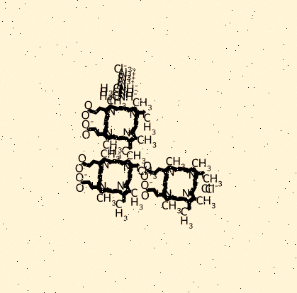 CCC1=C(C)c2cc3[nH]c(cc4nc(cc5[nH]c(cc1n2)c(C)c5CCC(=O)[O-])C(CCC(=O)[O-])=C4C)c(C)c3CC.CCC1=C(C)c2cc3[nH]c(cc4nc(cc5[nH]c(cc1n2)c(C)c5CCC(=O)[O-])C(CCC(=O)[O-])=C4C)c(C)c3CC.CCC1=C(C)c2cc3[nH]c(cc4nc(cc5[nH]c(cc1n2)c(C)c5CCC(=O)[O-])C(CCC(=O)[O-])=C4C)c(C)c3CC.C[NH-].C[NH-].C[NH-].[Al+3].[Al+3].[Al+3].[Al+3].[Cl-].[Cl-].[Cl-]